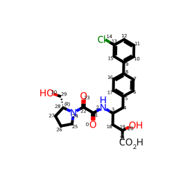 O=C(NC(Cc1ccc(-c2cccc(Cl)c2)cc1)CC(O)C(=O)O)C(=O)N1CCC[C@@H]1CO